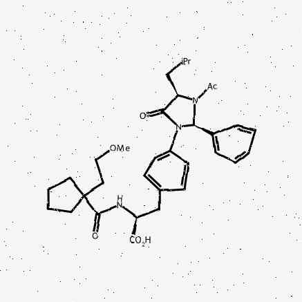 COCCC1(C(=O)N[C@@H](Cc2ccc(N3C(=O)[C@@H](CC(C)C)N(C(C)=O)[C@H]3c3ccccc3)cc2)C(=O)O)CCCC1